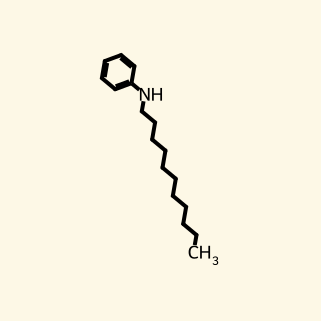 CCCCCCCCCCCNc1ccccc1